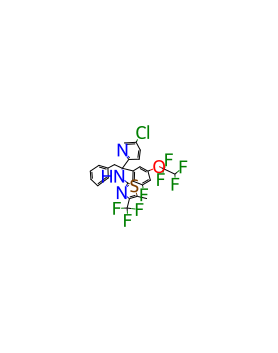 Cc1sc(NC(Cc2ccccc2)(c2cc(F)cc(OC(F)(F)C(F)F)c2)c2ccc(Cl)cn2)nc1C(F)(F)F